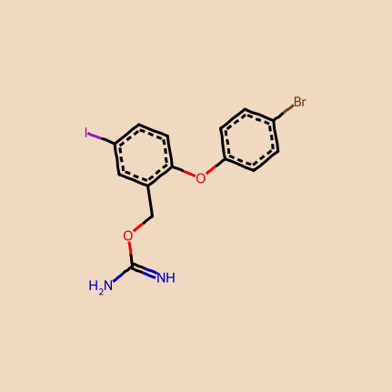 N=C(N)OCc1cc(I)ccc1Oc1ccc(Br)cc1